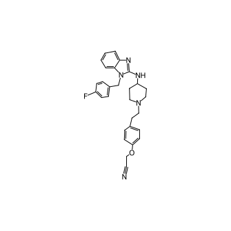 N#CCOc1ccc(CCN2CCC(Nc3nc4ccccc4n3Cc3ccc(F)cc3)CC2)cc1